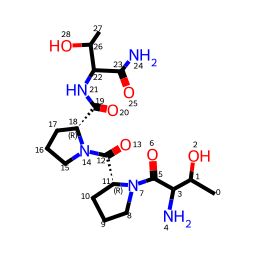 CC(O)C(N)C(=O)N1CCC[C@@H]1C(=O)N1CCC[C@@H]1C(=O)NC(C(N)=O)C(C)O